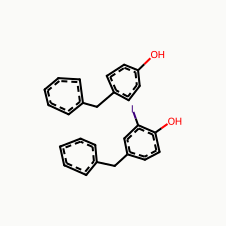 Oc1ccc(Cc2ccccc2)cc1.Oc1ccc(Cc2ccccc2)cc1I